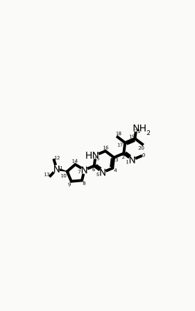 C/N=C(C1=CN=C(N2CC[C@@H](N(C)C)C2)NC1)\C(C)=C(/C)N